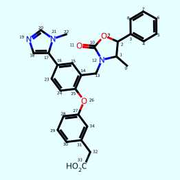 CC1C(c2ccccc2)OC(=O)N1Cc1cc(-c2cncn2C)ccc1Oc1cccc(CC(=O)O)c1